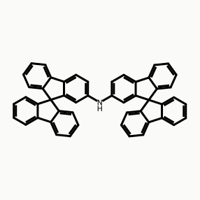 c1ccc2c(c1)-c1ccccc1C21c2ccccc2-c2ccc(Nc3ccc4c(c3)C3(c5ccccc5-c5ccccc53)c3ccccc3-4)cc21